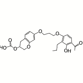 CCCc1c(OCCCOc2ccc3c(c2)OCC(OC(=O)O)C3)ccc(C(C)=O)c1O